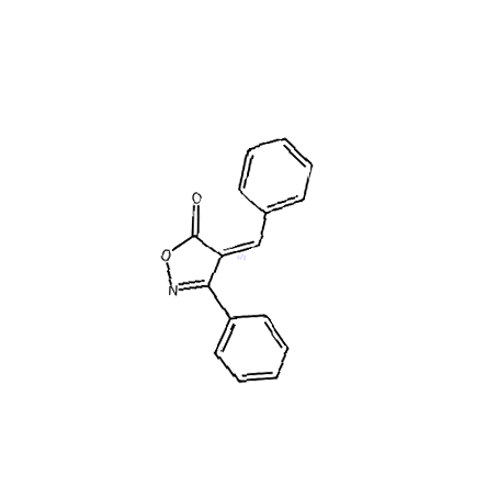 O=C1ON=C(c2ccccc2)/C1=C/c1ccccc1